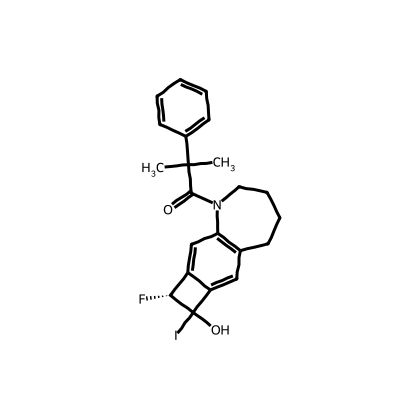 CC(C)(C(=O)N1CCCCc2cc3c(cc21)[C@@H](F)C3(O)I)c1ccccc1